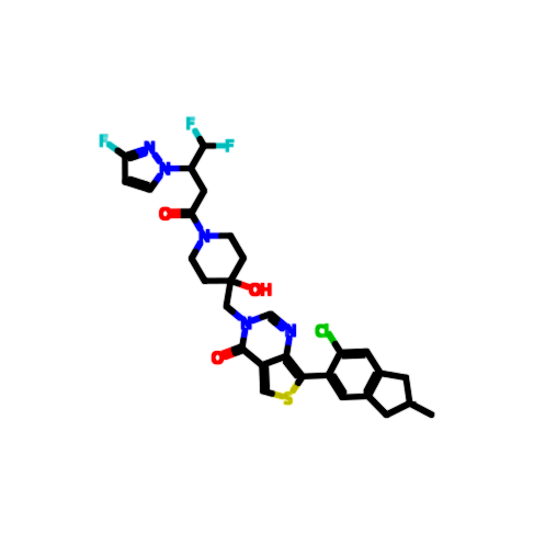 C[C]1Cc2cc(Cl)c(-c3scc4c(=O)n(CC5(O)CCN(C(=O)CC(C(F)F)n6ccc(F)n6)CC5)cnc34)cc2C1